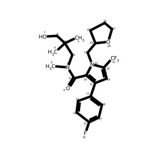 CN(CC(C)(C)CO)C(=O)c1c(-c2ccc(F)cc2)cc(C(F)(F)F)n1CC1CCCO1